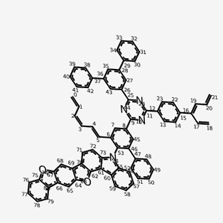 C=C/C=C\C=C\c1cc(-c2nc(-c3ccc(/C(C=C)=C/C=C)cc3)nc(-c3cc(-c4ccccc4)cc(-c4ccccc4)c3)n2)cc(-c2ccccc2)c1-n1c2ccccc2c2c3oc4cc5c(cc4c3ccc21)oc1ccccc15